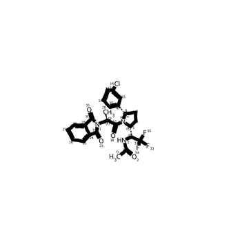 CC(=O)NC([C@H]1CC[C@@H](c2cccc(Cl)c2)N1C(=O)[C@@H](C)N1C(=O)c2ccccc2C1=O)C(F)(F)F